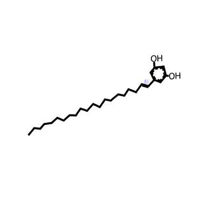 CCCCCCCCCCCCCCCCCCC/C=C/c1cc(O)cc(O)c1